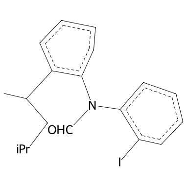 CC(C)CC(C)c1ccccc1N(C=O)c1ccccc1I